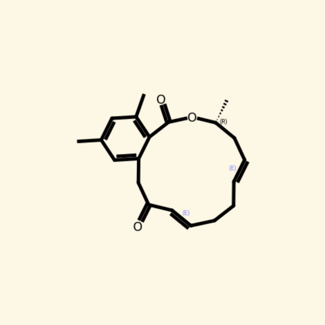 Cc1cc(C)c2c(c1)CC(=O)/C=C/CC/C=C/C[C@@H](C)OC2=O